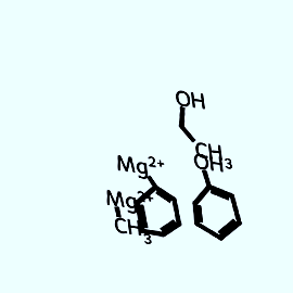 CCO.Oc1ccccc1.[CH3][Mg+2].[Mg+2][c]1ccccc1